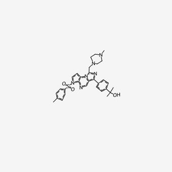 Cc1ccc(S(=O)(=O)n2ccc3c2ncc2c(-c4ccc(C(C)(C)O)cc4)nc(CN4CCN(C)CC4)n23)cc1